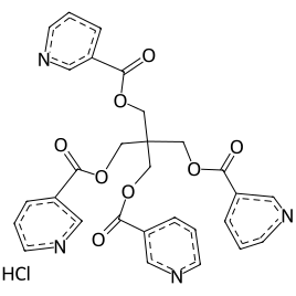 Cl.O=C(OCC(COC(=O)c1cccnc1)(COC(=O)c1cccnc1)COC(=O)c1cccnc1)c1cccnc1